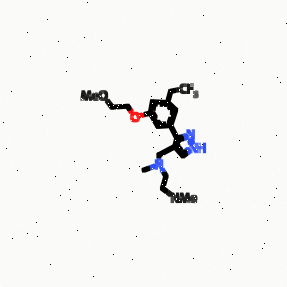 CNCCN(C)Cc1c[nH]nc1-c1cc(CC(F)(F)F)cc(OCCOC)c1